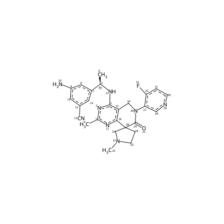 Cc1nc(N[C@H](C)c2cc(N)cc(C#N)c2)c2c(n1)C1(CCN(C)C1)C(=O)N(c1cnccc1F)C2